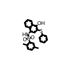 Cc1ccc(C)c(S(=O)(=O)Nc2cc(Sc3ccccc3)c(O)c3ccccc23)c1